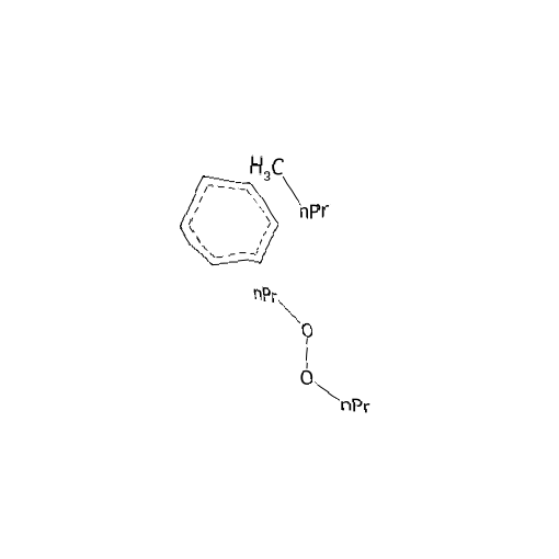 CCCC.CCCOOCCC.c1ccccc1